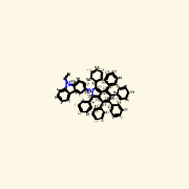 CCn1c2ccccc2c2cc(-n3c(-c4ccccc4)c4c(-c5ccccc5)c(-c5ccccc5)c(-c5ccccc5)c(-c5ccccc5)c4c3C3C=CC=CC3)ccc21